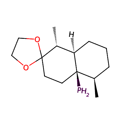 C[C@@H]1[C@H]2CCC[C@@H](C)[C@]2(P)CCC12OCCO2